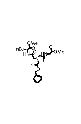 CCCC[C@H](NC(=O)CN(CC(=O)NCC(=O)OC)CC(=O)OCc1ccccc1)C(=O)OC